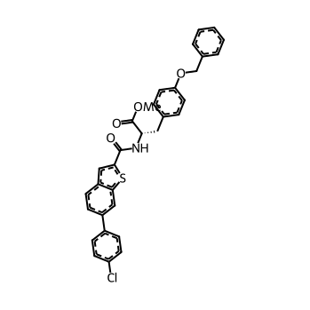 COC(=O)[C@H](Cc1ccc(OCc2ccccc2)cc1)NC(=O)c1cc2ccc(-c3ccc(Cl)cc3)cc2s1